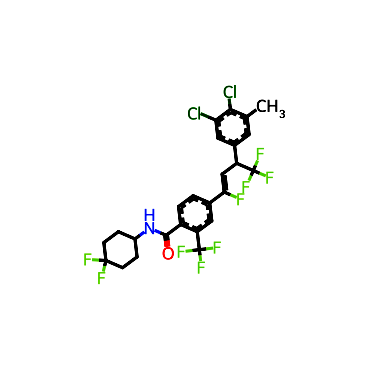 Cc1cc(C(/C=C(\F)c2ccc(C(=O)NC3CCC(F)(F)CC3)c(C(F)(F)F)c2)C(F)(F)F)cc(Cl)c1Cl